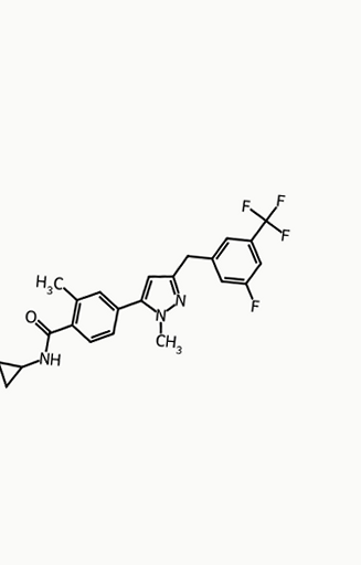 Cc1cc(-c2cc(Cc3cc(F)cc(C(F)(F)F)c3)nn2C)ccc1C(=O)NC1CC1